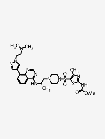 COC(=O)Nc1nc(C)c(S(=O)(=O)N2CCN(C[C@H](C)Nc3ncnc4c(-c5cnn(CCN(C)C)c5)cccc34)CC2)s1